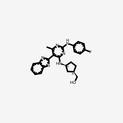 Cc1nc(Nc2ccc(F)cc2)nc(N[C@H]2CC[C@@H](CO)C2)c1-c1nc2ccccc2s1